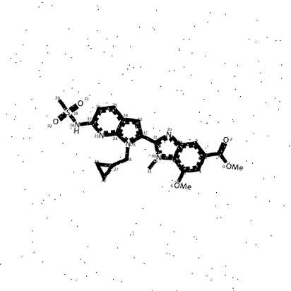 COC(=O)c1cc(OC)c2c(c1)nc(-c1cc3ccc(NS(C)(=O)=O)nc3n1CC1CC1)n2C